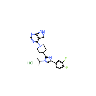 CC(C)n1cc(-c2ccc(F)c(F)c2)nc1C1CCN(c2ncnc3[nH]ncc23)CC1.Cl